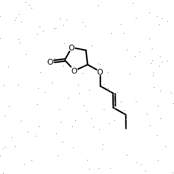 CC/C=C/COC1COC(=O)O1